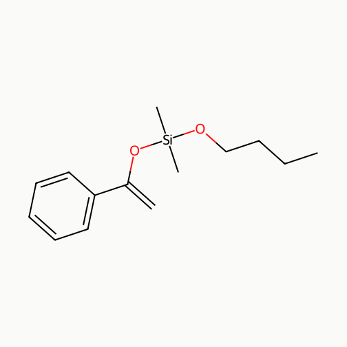 C=C(O[Si](C)(C)OCCCC)c1ccccc1